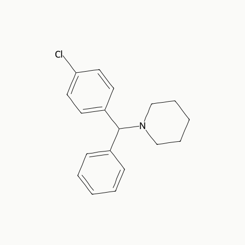 Clc1ccc(C(c2ccccc2)N2CCCCC2)cc1